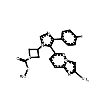 CC(C)(C)OC(=O)N1CC(n2cnc(-c3ccc(F)cc3)c2-c2ccc3nc(N)cn3n2)C1